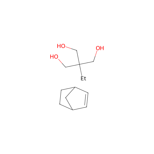 C1=CC2CCC1C2.CCC(CO)(CO)CO